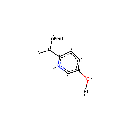 CCCCCC(C)c1ccc(OCC)cn1